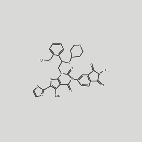 COc1ccccc1C(Cn1c(=O)n(-c2ccc3c(c2)C(=O)N(C)C3=O)c(=O)c2c(C)c(-c3ncco3)sc21)OC1CCOCC1